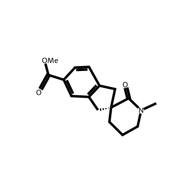 COC(=O)c1ccc2c(c1)C[C@]1(CCCN(C)C1=O)C2